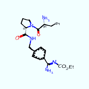 CCOC(=O)N=C(N)c1ccc(CNC(=O)[C@@H]2CCCN2C(=O)[C@H](N)CC(C)C)cc1